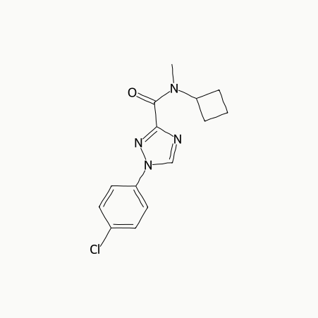 CN(C(=O)c1ncn(-c2ccc(Cl)cc2)n1)C1CCC1